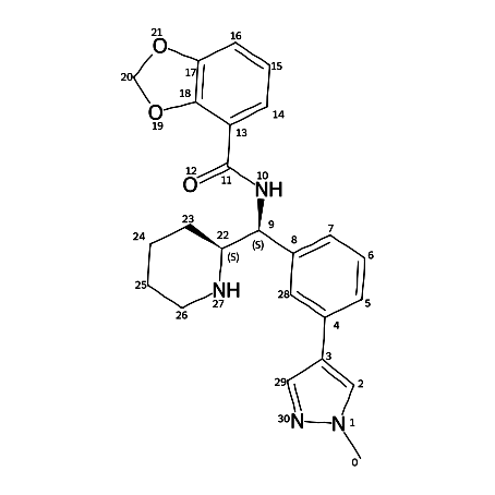 Cn1cc(-c2cccc([C@H](NC(=O)c3cccc4c3OCO4)[C@@H]3CCCCN3)c2)cn1